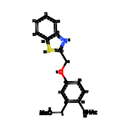 COCc1cc(OCc2nc3ccccc3s2)ccc1NC(C)=O